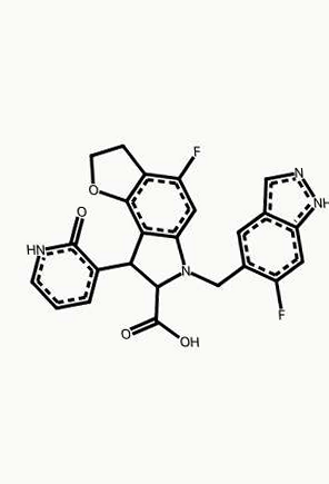 O=C(O)C1C(c2ccc[nH]c2=O)c2c(cc(F)c3c2OCC3)N1Cc1cc2cn[nH]c2cc1F